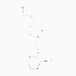 CC(=O)Oc1ccccc1OCC1(C)CCN(C(=O)OC(C)(C)C)CC1